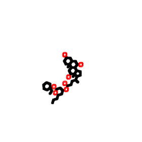 CCCCCC(CC(=O)OC1(CC)CCCCC1)OC(=O)CCC(C)C1CCC2C3C(=O)CC4CC(=O)CCC4(C)C3CC(=O)C12C